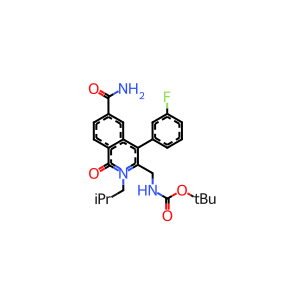 CC(C)Cn1c(CNC(=O)OC(C)(C)C)c(-c2cccc(F)c2)c2cc(C(N)=O)ccc2c1=O